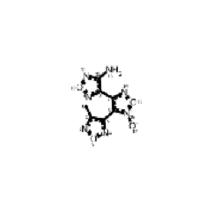 Cc1nonc1-c1c(-c2nonc2N)no[n+]1[O-]